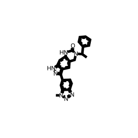 CC(c1ccccc1)N1Cc2cc3c(-c4ccc5nnn(C)c5c4)n[nH]c3cc2NC1=O